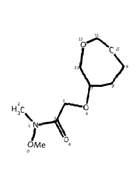 CON(C)C(=O)COC1CCCCOC1